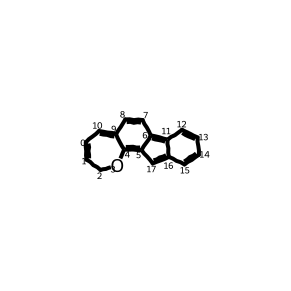 C1=CCOc2c3c(ccc2=C1)=c1ccccc1=C3